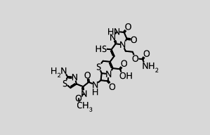 CON=C(C(=O)NC1C(=O)N2C(C(=O)O)=C(C=C(S)c3n[nH]c(=O)c(=O)n3CCOC(N)=O)CSC12)c1csc(N)n1